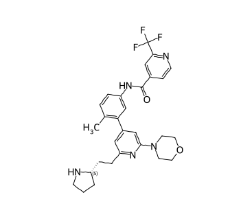 Cc1ccc(NC(=O)c2ccnc(C(F)(F)F)c2)cc1-c1cc(CC[C@@H]2CCCN2)nc(N2CCOCC2)c1